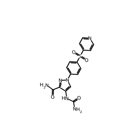 NC(=O)Nc1cn(-c2ccc(S(=O)(=O)c3ccncc3)cc2)nc1C(N)=O